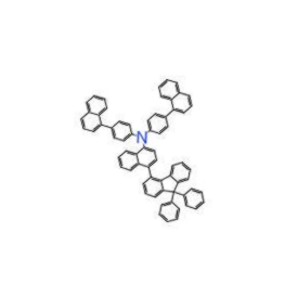 c1ccc(C2(c3ccccc3)c3ccccc3-c3c(-c4ccc(N(c5ccc(-c6cccc7ccccc67)cc5)c5ccc(-c6cccc7ccccc67)cc5)c5ccccc45)cccc32)cc1